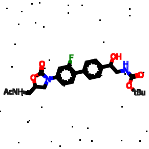 CC(=O)NCC1CN(c2ccc(-c3ccc(C(O)CNC(=O)OC(C)(C)C)cc3)c(F)c2)C(=O)O1